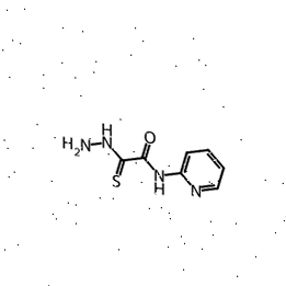 NNC(=S)C(=O)Nc1ccccn1